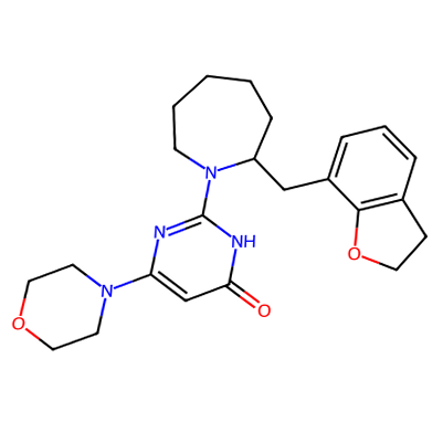 O=c1cc(N2CCOCC2)nc(N2CCCCCC2Cc2cccc3c2OCC3)[nH]1